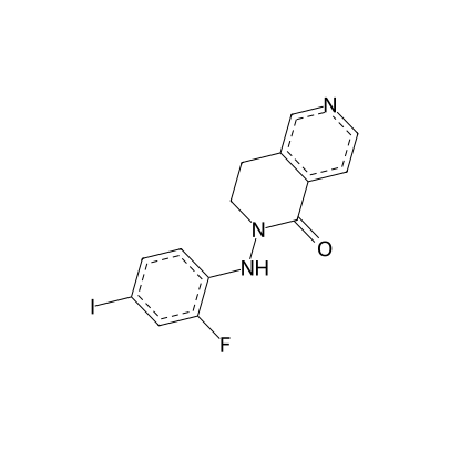 O=C1c2ccncc2CCN1Nc1ccc(I)cc1F